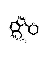 Cc1ccc2nnn(C3CCCCO3)c2c1CN